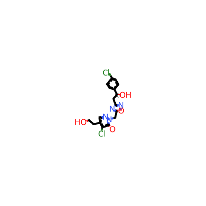 O=c1c(Cl)c(CCO)cnn1Cc1nc(C[C@H](O)c2ccc(Cl)cc2)no1